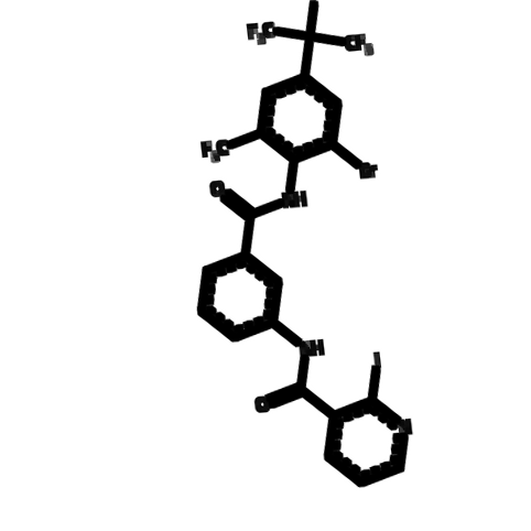 O=C(Nc1c(Br)cc(C(F)(C(F)(F)F)C(F)(F)F)cc1C(F)(F)F)c1cccc(NC(=O)c2cccnc2I)c1